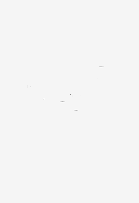 CCOC(=O)/C(=C/C[PH](=O)CO)NC(=O)OCc1ccccc1